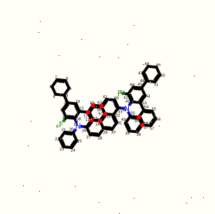 Fc1cc(C2CC=CCC2)cc(C2=CCCC=C2)c1N(c1ccccc1)c1ccc2ccc3c(N(c4ccccc4)c4c(F)cc(C5=CCCC=C5)cc4-c4ccccc4)ccc4ccc1c2c43